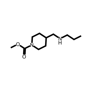 CCCNCC1CCN(C(=O)OC)CC1